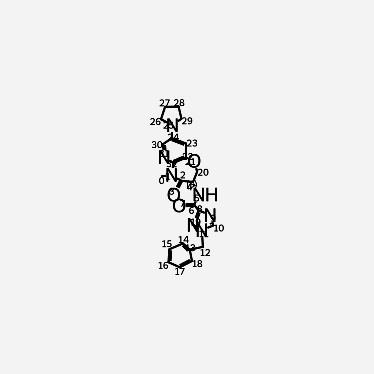 CN1C(=O)[C@@H](NC(=O)c2ncn(Cc3ccccc3)n2)COc2cc(N3CCCC3)cnc21